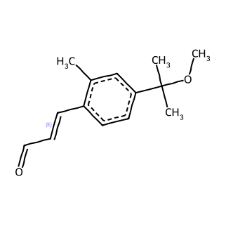 COC(C)(C)c1ccc(/C=C/C=O)c(C)c1